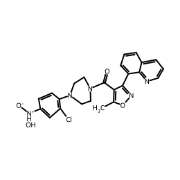 Cc1onc(-c2cccc3cccnc23)c1C(=O)N1CCN(c2ccc([NH+]([O-])O)cc2Cl)CC1